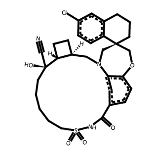 N#C[C@@]1(O)CCCCCS(=O)(=O)NC(=O)c2ccc3c(c2)N(C[C@@H]2CC[C@H]21)C[C@@]1(CCCc2cc(Cl)ccc21)CO3